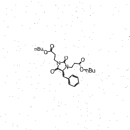 CCCCOC(=O)CCN1C(=O)C(=Cc2ccccc2)N(CCC(=O)OCCCC)C1=O